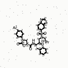 CC(=O)c1ccc(N2C[C@@H](C(=O)N[C@@H](Cc3ccccc3)[C@H](O)CN(CC(C)C)S(=O)(=O)c3ccc4ncsc4c3)OC2=O)cc1